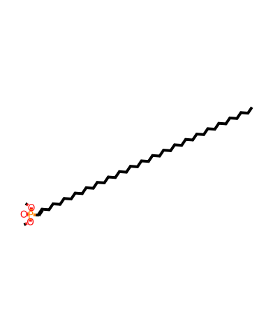 CCCCCCCCCCCCCCCCCCCCCCCCCCCCCCCCCCCCCCC=CP(=O)(OC)OC